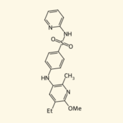 CCc1cc(Nc2ccc(S(=O)(=O)Nc3ccccn3)cc2)c(C)nc1OC